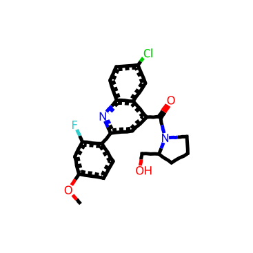 COc1ccc(-c2cc(C(=O)N3CCCC3CO)c3cc(Cl)ccc3n2)c(F)c1